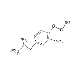 NC(Cc1ccc(OON=O)c([N+](=O)[O-])c1)C(=O)O